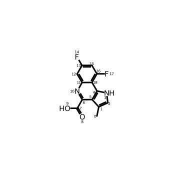 Cc1c[nH]c2c1c(C(=O)O)nc1cc(F)cc(F)c12